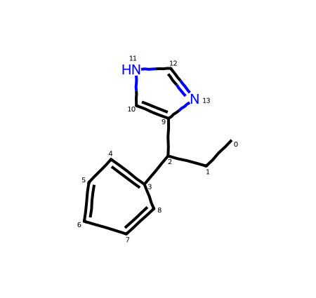 CCC(c1ccccc1)c1c[nH]cn1